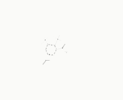 CC(=O)O.NC(=O)c1cccc(C(F)(F)F)c1C(F)(F)F